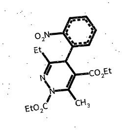 CCOC(=O)C1=C(C)N(C(=O)OCC)N=C(CC)C1c1ccccc1[N+](=O)[O-]